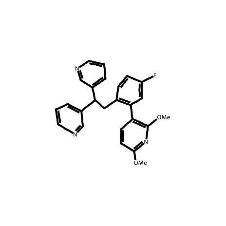 COc1ccc(-c2cc(F)ccc2CC(c2cccnc2)c2cccnc2)c(OC)n1